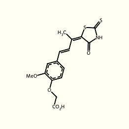 COc1cc(/C=C/C(C)=C2/SC(=S)NC2=O)ccc1OCC(=O)O